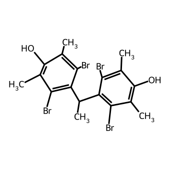 Cc1c(O)c(C)c(Br)c(C(C)c2c(Br)c(C)c(O)c(C)c2Br)c1Br